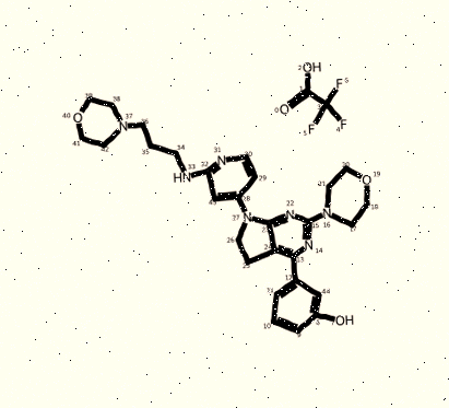 O=C(O)C(F)(F)F.Oc1cccc(-c2nc(N3CCOCC3)nc3c2CCN3c2ccnc(NCCCN3CCOCC3)c2)c1